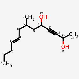 CCCC=CCC(C)CC(O)C#CC(C)O